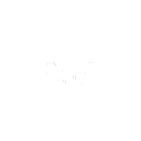 Nc1cc(N2CCCC3(CCOCC3)C2)ncc1Cl